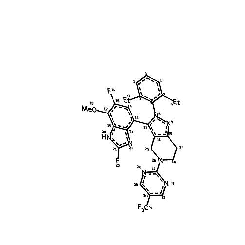 CCc1cccc(CC)c1-n1nc2c(c1-c1cc(F)c(OC)c3[nH]c(F)nc13)CN(c1ncc(C(F)(F)F)cn1)CC2